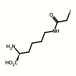 N[C@@H](CCCCNC(=O)CI)C(=O)O